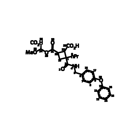 CCCC1(C(=O)NCc2ccc(Oc3ccccc3)cc2)CC(C(=O)OC(OC)C(=O)O)C1C(=O)O